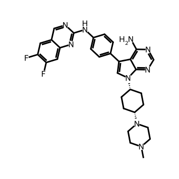 CN1CCN([C@H]2CC[C@@H](n3cc(-c4ccc(Nc5ncc6cc(F)c(F)cc6n5)cc4)c4c(N)ncnc43)CC2)CC1